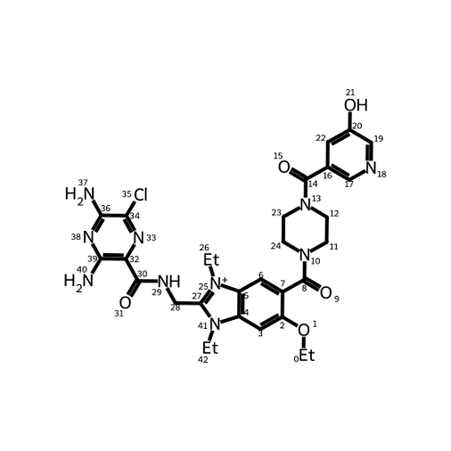 CCOc1cc2c(cc1C(=O)N1CCN(C(=O)c3cncc(O)c3)CC1)[n+](CC)c(CNC(=O)c1nc(Cl)c(N)nc1N)n2CC